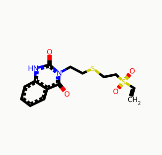 C=CS(=O)(=O)CCSCCn1c(=O)[nH]c2ccccc2c1=O